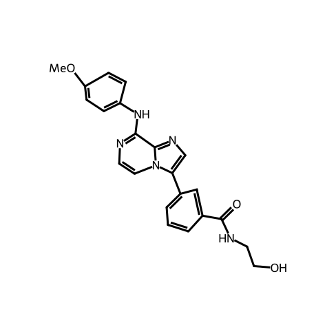 COc1ccc(Nc2nccn3c(-c4cccc(C(=O)NCCO)c4)cnc23)cc1